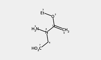 C=C(OCC)N(N)CC(=O)O